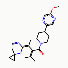 C=N/C(NC1(C)CC1)=C(\C)C(C(=O)N1CCC(c2cnc(OC)cn2)CC1)=C(C)C